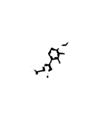 Cc1c(-c2cn(C)c(C(N)=O)n2)ccc(OCF)c1F